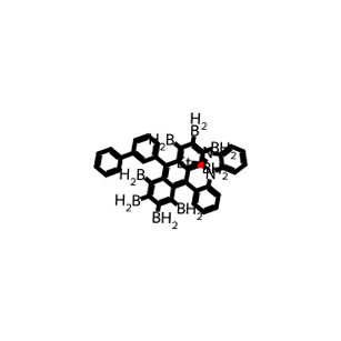 Bc1c(B)c(B)c2c(-c3ccccc3-n3c(CC)nc4ccccc43)c3c(B)c(B)c(B)c(B)c3c(-c3cccc(-c4ccccc4)c3)c2c1B